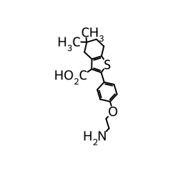 CC1(C)CCc2sc(-c3ccc(OCCN)cc3)c(C(=O)O)c2C1